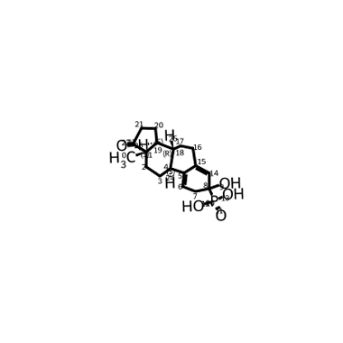 C[C@]12CC[C@@H]3C4=CCC(O)(P(=O)(O)O)C=C4CC[C@H]3[C@@H]1CCC2=O